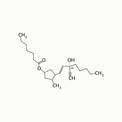 C#C[C@@](O)(C=CC1CC(OC(=O)CCCCCC)CC1C)CCCCC